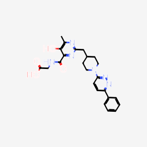 Cc1nc(CC2CCN(c3ccc(-c4ccccc4)nn3)CC2)nc(C(=O)NCC(=O)O)c1O